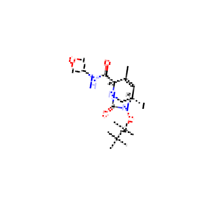 CC1=C[C@@H]2CN(C(=O)N2O[Si](C)(C)C(C)(C)C)[C@H]1C(=O)NC1COC1